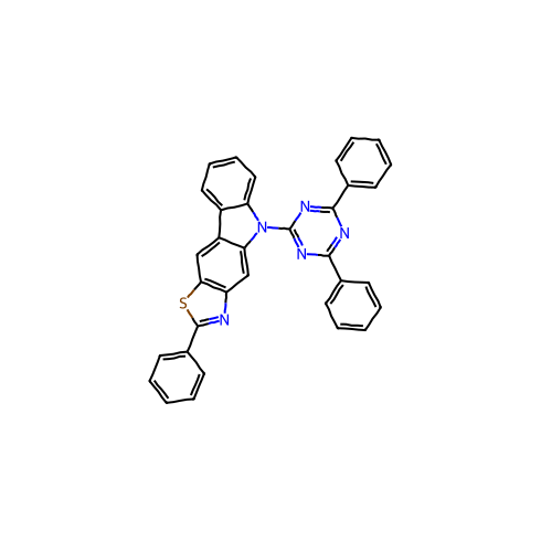 c1ccc(-c2nc(-c3ccccc3)nc(-n3c4ccccc4c4cc5sc(-c6ccccc6)nc5cc43)n2)cc1